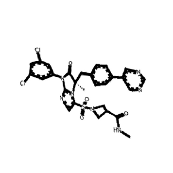 CNC(=O)C1CN(S(=O)(=O)c2cnc3n2[C@](C)(Cc2ccc(-c4cncnc4)cc2)C(=O)N3c2cc(Cl)cc(Cl)c2)C1